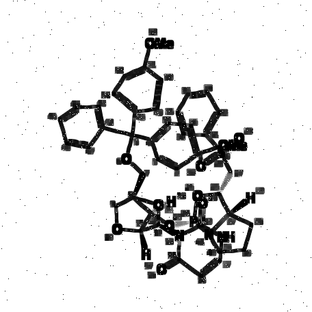 COc1ccc(C(OC[C@@]23CO[C@@H]([C@H](n4c(=O)cc[nH]c4=O)O2)[C@@H]3O[P@]2O[C@H](CS(=O)(=O)c3ccccc3)[C@@H]3CCCN32)(c2ccccc2)c2ccc(OC)cc2)cc1